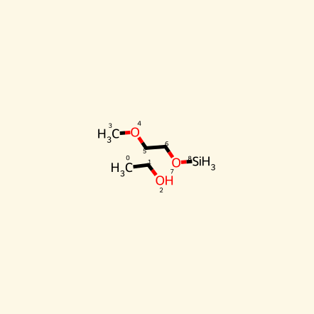 CCO.COCCO[SiH3]